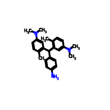 Cc1ccc(N(C)C)cc1C(c1ccc(N)cc1)c1cc(N(C)C)ccc1C